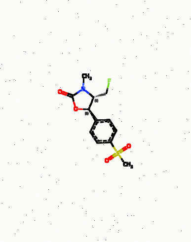 CN1C(=O)O[C@H](c2ccc(S(C)(=O)=O)cc2)[C@H]1CF